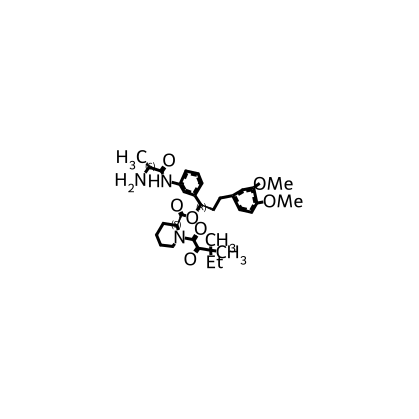 CCC(C)(C)C(=O)C(=O)N1CCCC[C@H]1C(=O)O[C@H](CCc1ccc(OC)c(OC)c1)c1cccc(NC(=O)[C@H](C)N)c1